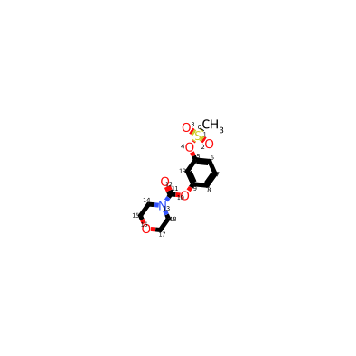 CS(=O)(=O)Oc1cccc(OC(=O)N2CCOCC2)c1